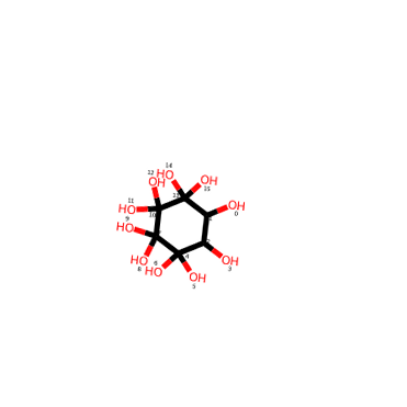 OC1C(O)C(O)(O)C(O)(O)C(O)(O)C1(O)O